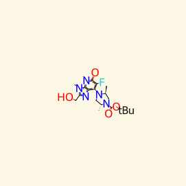 C[C@@H]1CN(c2c(F)c(=O)n(C)c3c2nc(CO)n3C)[C@@H](C)CN1C(=O)OC(C)(C)C